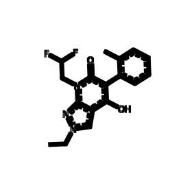 CCn1cc2c(O)c(-c3ccccc3C)c(=O)n(CC(F)F)c2n1